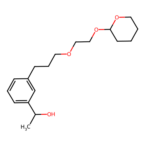 CC(O)c1cccc(CCCOCCOC2CCCCO2)c1